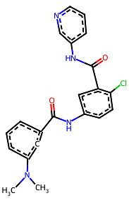 CN(C)c1cccc(C(=O)Nc2ccc(Cl)c(C(=O)Nc3cccnc3)c2)c1